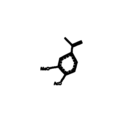 C=C(C)c1ccc(OC(C)=O)c(OC)c1